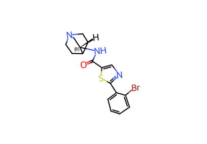 O=C(N[C@H]1CN2CCC1CC2)c1cnc(-c2ccccc2Br)s1